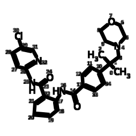 CC(C)(CN1CCOCC1)c1ccc(C(=O)Nc2ccccc2C(=O)Nc2ccc(Cl)cn2)cc1